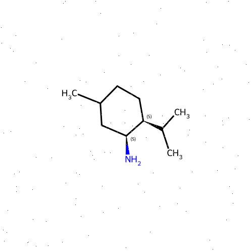 CC1CC[C@@H](C(C)C)[C@@H](N)C1